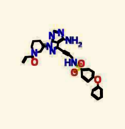 C=CC(=O)N1CCC[C@@H](n2nc(C#CCNS(=O)(=O)c3ccc(Oc4ccccc4)cc3)c3c(N)ncnc32)C1